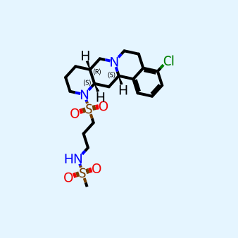 CS(=O)(=O)NCCCS(=O)(=O)N1CCC[C@@H]2CN3CCc4c(Cl)cccc4[C@@H]3C[C@@H]21